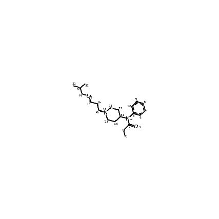 CCC(=O)N(c1ccccc1)C1CCN(CCCOCC(C)C)CC1